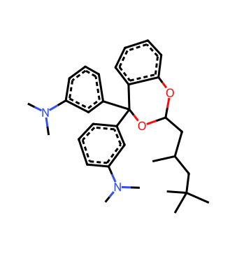 CC(CC1Oc2ccccc2C(c2cccc(N(C)C)c2)(c2cccc(N(C)C)c2)O1)CC(C)(C)C